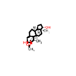 CC(=O)OC[C@@]12C(=C[C@@H](O)C[C@H]1C)CC[C@H]1[C@@H]3CC[C@H](O)[C@@]3(C)CC[C@@H]12